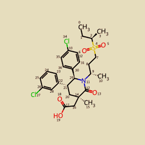 CC[C@@H](C)S(=O)(=O)CC[C@H](C)N1C(=O)[C@@](C)(CC(=O)O)C[C@H](c2cccc(Cl)c2)[C@H]1c1ccc(Cl)cc1